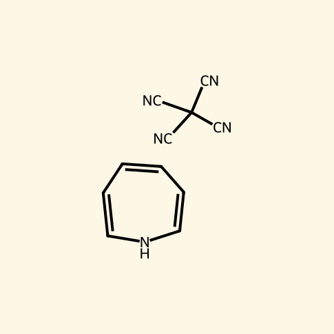 C1=CC=CNC=C1.N#CC(C#N)(C#N)C#N